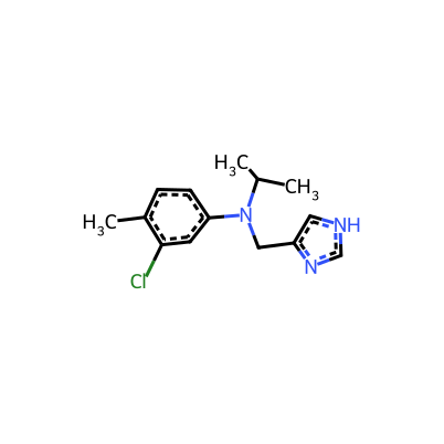 Cc1ccc(N(Cc2c[nH]cn2)C(C)C)cc1Cl